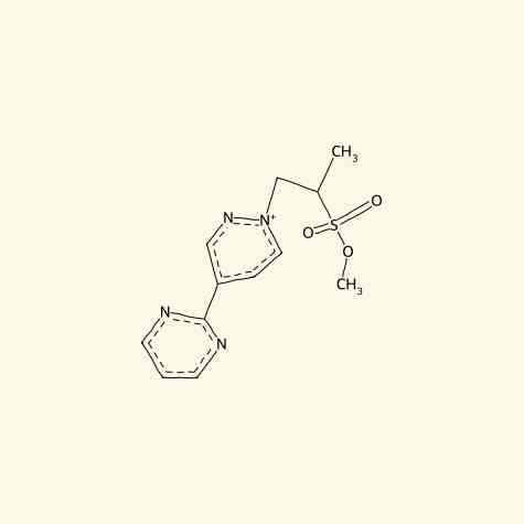 COS(=O)(=O)C(C)C[n+]1ccc(-c2ncccn2)cn1